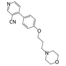 N#Cc1cnccc1-c1ccc(OCCCN2CCOCC2)cc1